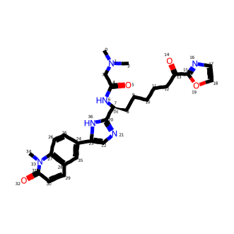 CN(C)CC(=O)N[C@@H](CCCCCC(=O)c1ncco1)c1ncc(-c2ccc3c(ccc(=O)n3C)c2)[nH]1